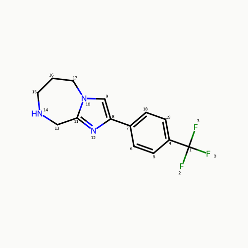 FC(F)(F)c1ccc(-c2cn3c(n2)CNCCC3)cc1